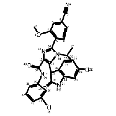 COc1cc(C#N)ccc1-c1nc2c(n1C(C)C)[C@@]1(C(=O)Nc3cc(Cl)ccc31)N(c1cccc(Cl)c1)C2=O